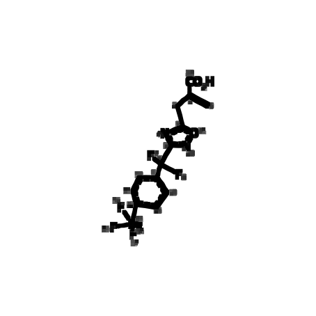 C=C(Cc1nc(C(F)(F)c2ccc(S(=C)(F)(F)F)cc2)no1)C(=O)O